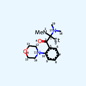 CCC(NC)(C(=O)c1ccccc1N1CCOCC1)N(C)C